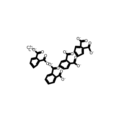 O=C([O-])c1ccccc1C(=O)[O-].O=C([O-])c1ccccc1C(=O)[O-].O=C([O-])c1ccccc1C(=O)[O-].O=C([O-])c1ccccc1C(=O)[O-].[C+4].[C+4]